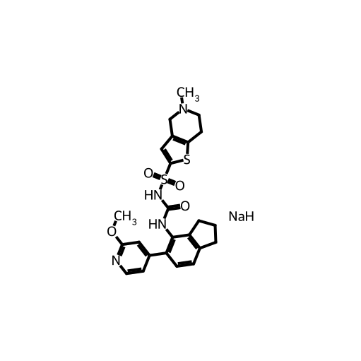 COc1cc(-c2ccc3c(c2NC(=O)NS(=O)(=O)c2cc4c(s2)CCN(C)C4)CCC3)ccn1.[NaH]